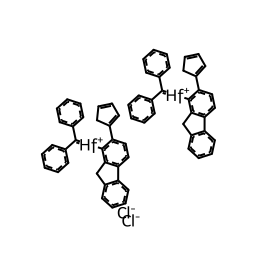 C1=CCC(c2ccc3c([c]2[Hf+]=[C](c2ccccc2)c2ccccc2)Cc2ccccc2-3)=C1.C1=CCC(c2ccc3c([c]2[Hf+]=[C](c2ccccc2)c2ccccc2)Cc2ccccc2-3)=C1.[Cl-].[Cl-]